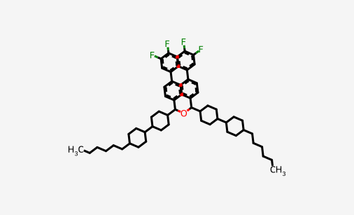 CCCCCCC1CCC(C2CCC(C(OC(c3ccc(-c4ccc(F)c(F)c4)cc3)C3CCC(C4CCC(CCCCCC)CC4)CC3)c3ccc(-c4ccc(F)c(F)c4)cc3)CC2)CC1